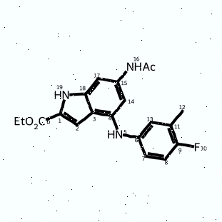 CCOC(=O)c1cc2c(Nc3ccc(F)c(C)c3)cc(NC(C)=O)cc2[nH]1